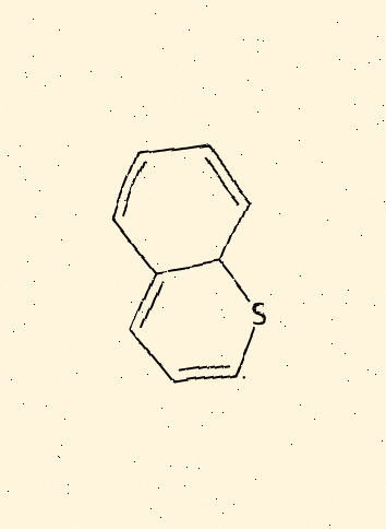 [C]1=CC=C2C=CC=CC2S1